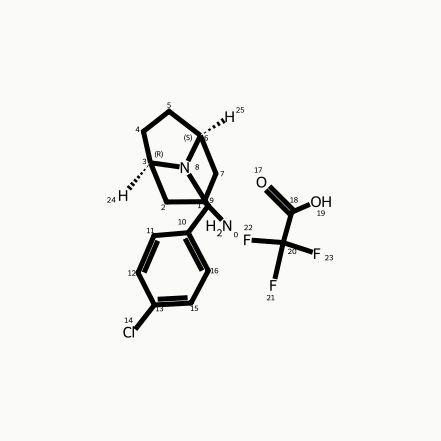 NC1C[C@H]2CC[C@@H](C1)N2Cc1ccc(Cl)cc1.O=C(O)C(F)(F)F